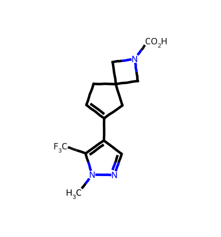 Cn1ncc(C2=CCC3(C2)CN(C(=O)O)C3)c1C(F)(F)F